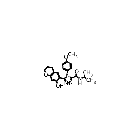 COc1ccc(-n2c(C(=O)NC(C)C)nnc2-c2cc3c(cc2O)OCCC3)cc1